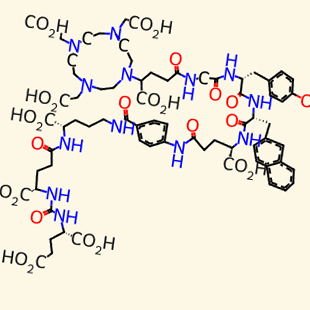 O=C(O)CC[C@H](NC(=O)N[C@@H](CCC(=O)N[C@@H](CCCNC(=O)c1ccc(NC(=O)CC[C@@H](NC(=O)[C@@H](Cc2ccc3ccccc3c2)NC(=O)[C@@H](Cc2ccc(O)cc2)NC(=O)CNC(=O)CCC(C(=O)O)N2CCN(CC(=O)O)CCN(CC(=O)O)CCN(CC(=O)O)CC2)C(=O)O)cc1)C(=O)O)C(=O)O)C(=O)O